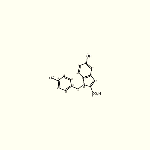 O=C(O)c1cc2cc(O)ccc2n1Cc1ccc(Cl)cc1